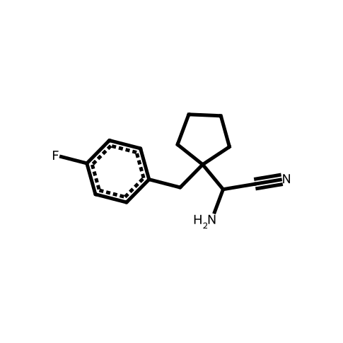 N#CC(N)C1(Cc2ccc(F)cc2)CCCC1